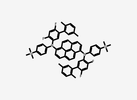 Cc1ccc(C)c(-c2cc(N(c3ccc([Si](C)(C)C)cc3)c3ccc4ccc5c(N(c6ccc([Si](C)(C)C)cc6)c6cc(-c7cc(C)ccc7C)c(F)cc6F)ccc6ccc3c4c65)c(F)cc2F)c1